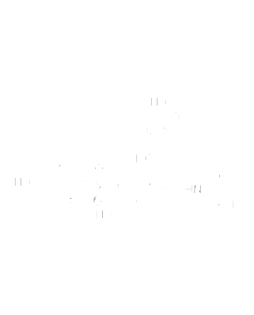 COC(=O)c1ccc(NC(C)=O)c(CCCC(C)OS(=O)(=O)c2ccc(C)cc2)c1O